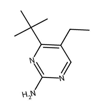 CCc1cnc(N)nc1C(C)(C)C